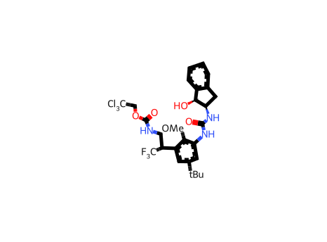 COc1c(NC(=O)N[C@@H]2Cc3ccccc3[C@@H]2O)cc(C(C)(C)C)cc1C(CNC(=O)OCC(Cl)(Cl)Cl)C(F)(F)F